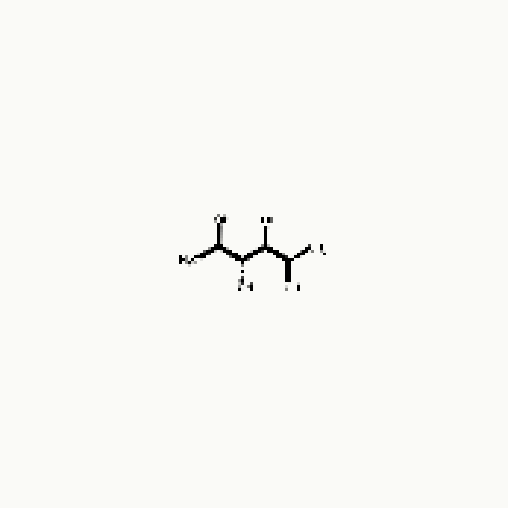 CC(O)[C@@H](O)[C@@H](O)[C@@H](C)O